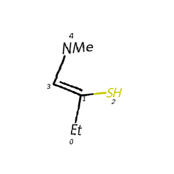 CC/C(S)=C/NC